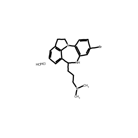 CN(C)CCCC1Nc2cc(Br)ccc2N2CCc3cccc1c32.Cl.Cl